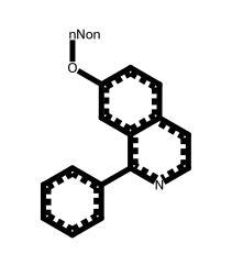 CCCCCCCCCOc1ccc2ccnc(-c3ccccc3)c2c1